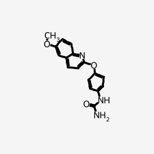 COc1ccc2nc(Oc3ccc(NC(N)=O)cc3)ccc2c1